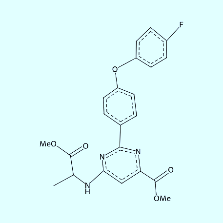 COC(=O)c1cc(NC(C)C(=O)OC)nc(-c2ccc(Oc3ccc(F)cc3)cc2)n1